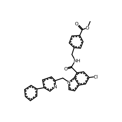 COC(=O)c1ccc(CNC(=O)c2cc(Cl)cc3ccn(Cc4ccc(-c5ccccc5)cn4)c23)cc1